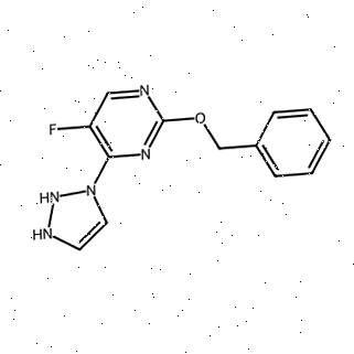 Fc1cnc(OCc2ccccc2)nc1N1C=CNN1